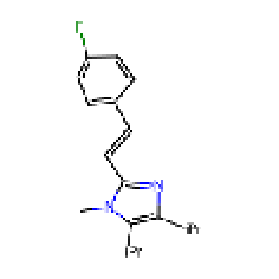 CC(C)c1nc(/C=C/c2ccc(F)cc2)n(C)c1C(C)C